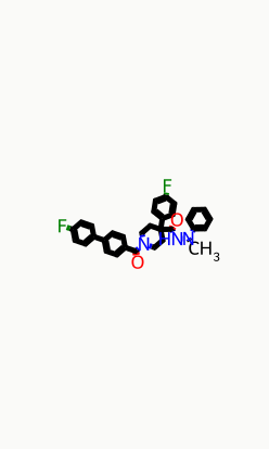 CN(NC(=O)C1(c2ccc(F)cc2)CCN(C(=O)c2ccc(-c3ccc(F)cc3)cc2)CC1)c1ccccc1